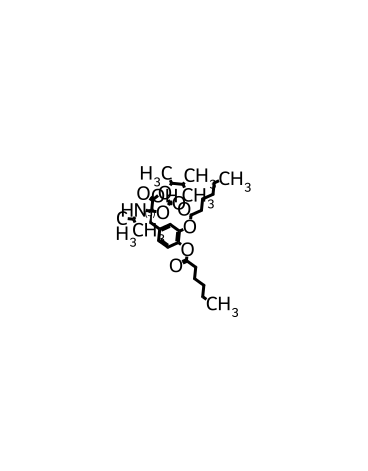 CCCCCC(=O)Oc1ccc(C[C@](NC(C)C)(OC(=O)OC(C)C(C)C)C(=O)O)cc1OC(=O)CCCCC